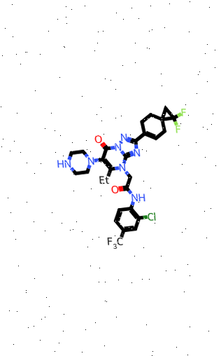 CCc1c(N2CCNCC2)c(=O)n2nc(C3=CCC4(CC3)CC4(F)F)nc2n1CC(=O)Nc1ccc(C(F)(F)F)cc1Cl